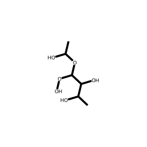 CC(O)OC(OO)C(O)C(C)O